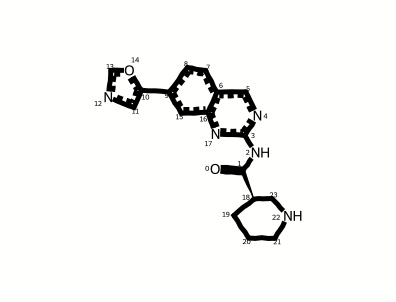 O=C(Nc1ncc2ccc(-c3cnco3)cc2n1)[C@@H]1CCCNC1